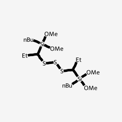 CCCC[Si](OC)(OC)C(CC)SSSC(CC)[Si](CCCC)(OC)OC